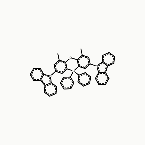 Cc1cc(-n2c3ccccc3c3ccccc32)cc2c1Oc1c(C)cc(-n3c4ccccc4c4ccccc43)cc1[Si]2(c1ccccc1)c1ccccc1